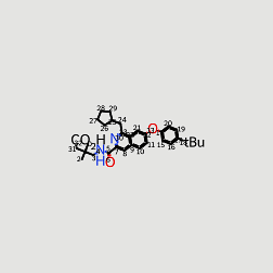 CC(C)(CNC(=O)c1cc2ccc(Oc3ccc(C(C)(C)C)cc3)cc2c(CC2CCCC2)n1)CC(=O)O